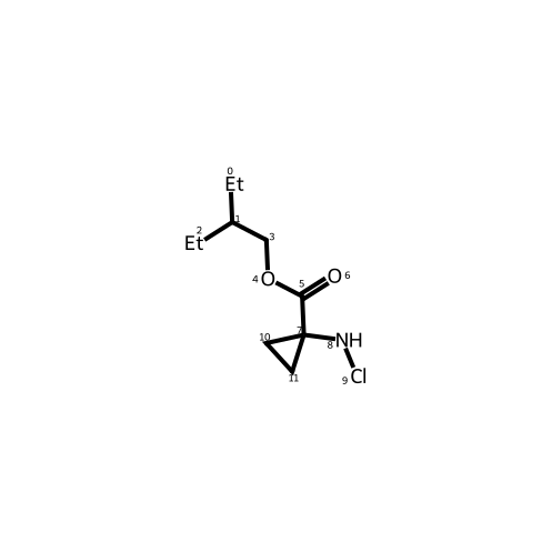 CCC(CC)COC(=O)C1(NCl)CC1